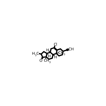 C#CC1CC[C@@]2(C)C(=C(Cl)C[C@@H]3[C@H]2CC[C@]2(C)C(=O)C(C)C[C@@H]32)C1